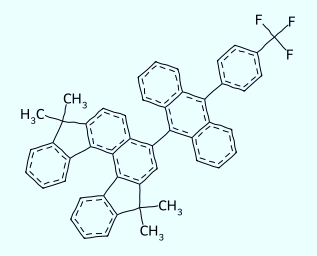 CC1(C)c2ccccc2-c2c1ccc1c(-c3c4ccccc4c(-c4ccc(C(F)(F)F)cc4)c4ccccc34)cc3c(c21)-c1ccccc1C3(C)C